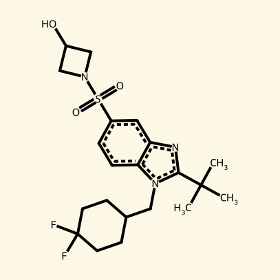 CC(C)(C)c1nc2cc(S(=O)(=O)N3CC(O)C3)ccc2n1CC1CCC(F)(F)CC1